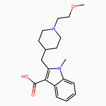 COCCN1CCC(Cc2c(C(=O)O)c3ccccc3n2C)CC1